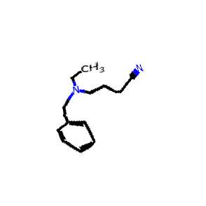 CCN(CCCC#N)Cc1ccccc1